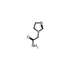 NC(=O)CN1C=NCC1